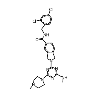 CNc1nc(N2CCN(C)CC2)nc(N2Cc3ccc(C(=O)NCc4ccc(Cl)cc4Cl)cc3C2)n1